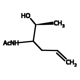 C=CCC(NC(C)=O)[C@H](C)O